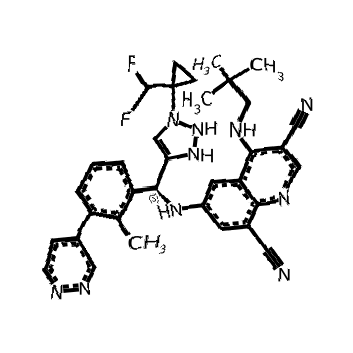 Cc1c(-c2ccnnc2)cccc1[C@H](Nc1cc(C#N)c2ncc(C#N)c(NCC(C)(C)C)c2c1)C1=CN(C2(C(F)F)CC2)NN1